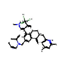 C=C1c2cc(CN(/C=C\C)C(=C)C)cc(/C(=C/N(C)C)C(=C)C(F)(F)F)c2CCC1Cc1cc(C)cc(C)n1